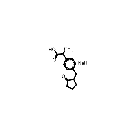 CC(C(=O)O)c1ccc(CC2CCCC2=O)cc1.[NaH]